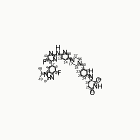 Cc1nc2c(F)cc(-c3nc(Nc4ccc(N5CCN(Cc6cccc(NC7CCC(=O)NC7=O)c6)CC5)cn4)ncc3F)cc2n1C(C)C